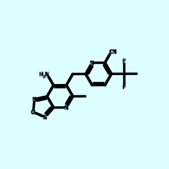 Cc1nc2nonc2c(N)c1Cc1ccc(C(C)(F)F)c(C#N)n1